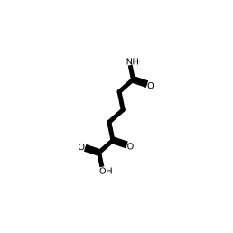 [NH]C(=O)CCCC(=O)C(=O)O